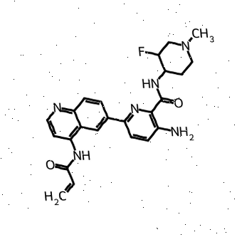 C=CC(=O)Nc1ccnc2ccc(-c3ccc(N)c(C(=O)NC4CCN(C)CC4F)n3)cc12